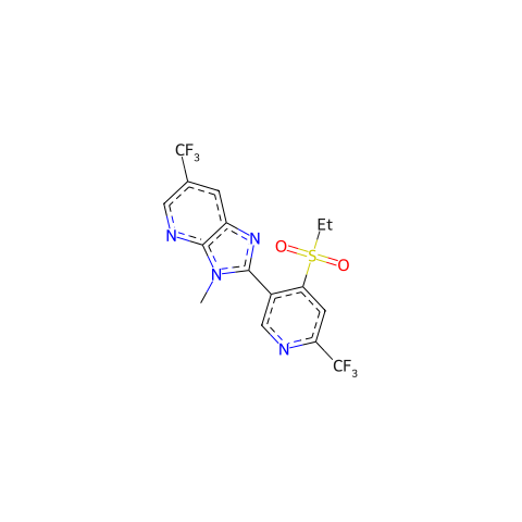 CCS(=O)(=O)c1cc(C(F)(F)F)ncc1-c1nc2cc(C(F)(F)F)cnc2n1C